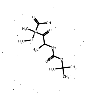 CO[N+](C)(C(=O)O)C(=O)C(C)NC(=O)OC(C)(C)C